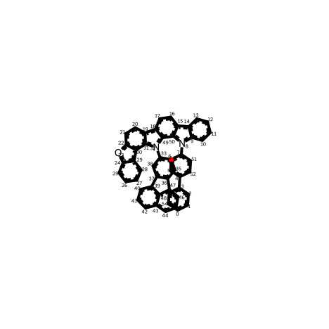 c1ccc(-c2ccc(-n3c4ccccc4c4ccc5c6ccc7oc8ccccc8c7c6n(-c6ccc7c(c6)-c6cccc8cccc-7c68)c5c43)cc2)cc1